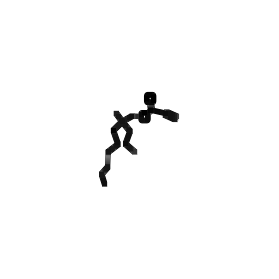 C#CC(=O)OCC(C)(CCC)CCCCCC